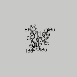 CCc1nccc2cc(-c3c(Cl)nc(N(C(=O)OC(C)(C)C)C(=O)OC(C)(C)C)nc3N[C@@H]3C[C@H](CC)[C@@H](C)[C@H]3OC(=O)OC(C)(C)C)oc12